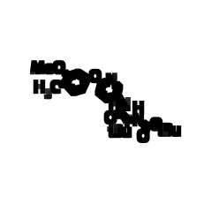 COc1cc(Oc2ccc(NC(=O)[C@H](NC(=O)OC(C)(C)C)C(C)(C)C)cn2)ccc1C